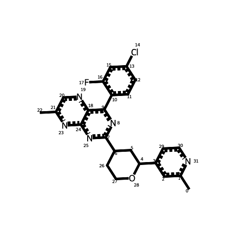 Cc1cc(C2CC(c3nc(-c4ccc(Cl)cc4F)c4ncc(C)nc4n3)CCO2)ccn1